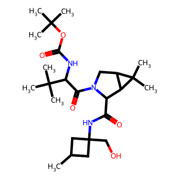 CC1CC(CO)(NC(=O)C2C3C(CN2C(=O)C(NC(=O)OC(C)(C)C)C(C)(C)C)C3(C)C)C1